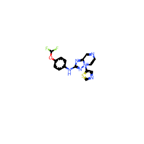 FC(F)Oc1ccc(NC2=N[N+]3(c4cncs4)C=CN=CC3=N2)cc1